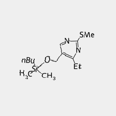 CCCC[Si](C)(C)OCc1cnc(SC)nc1CC